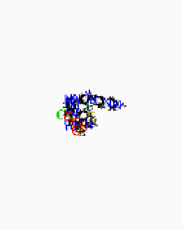 CN1CCN(C2CCN(c3ncc(Nc4ncc(Cl)c(N(c5ccc6scnc6c5NS(C)(=O)=O)S(C)(=O)=O)n4)cc3F)CC2)CC1